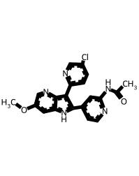 COc1cnc2c(-c3ccc(Cl)cn3)c(-c3ccnc(NC(C)=O)c3)[nH]c2c1